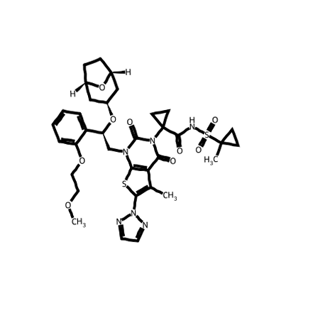 COCCOc1ccccc1[C@H](Cn1c(=O)n(C2(C(=O)NS(=O)(=O)C3(C)CC3)CC2)c(=O)c2c(C)c(-n3nccn3)sc21)O[C@@H]1C[C@H]2CC[C@@H](C1)O2